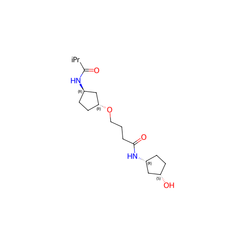 CC(C)C(=O)N[C@@H]1CC[C@@H](OCCCC(=O)N[C@@H]2CC[C@H](O)C2)C1